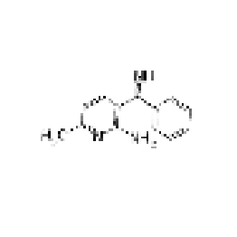 Cc1ccc(C(=N)c2ccccc2)c(N)n1